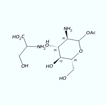 CC(=O)OC1O[C@H](CO)[C@@H](O)[C@H](O)[C@H]1N.NC(CO)C(=O)O